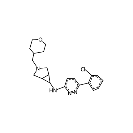 Clc1ccccc1-c1ccc(NC2C3CN(CC4CCOCC4)CC32)nn1